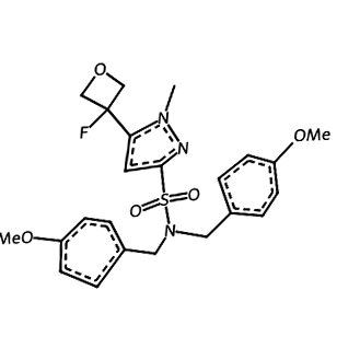 COc1ccc(CN(Cc2ccc(OC)cc2)S(=O)(=O)c2cc(C3(F)COC3)n(C)n2)cc1